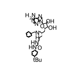 CC(C)(C)c1ccc(NC(=O)NCCC[C@H](CNCc2ccccc2)C[C@H]2O[C@@H](n3cnc4c(N)ncnc43)C(O)C2O)cc1